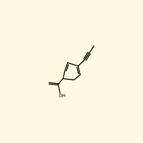 C=C(O)C1C=CC(C#CC)=CC1